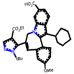 CCOC(=O)c1cnn(C(C)(C)C)c1C1=Cc2cc(OC)ccc2-c2c(C3CCCCC3)c3ccc(C(=O)O)cc3n2C1